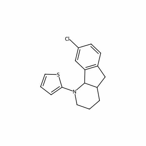 Clc1ccc2c(c1)C1C(CCCN1c1cccs1)C2